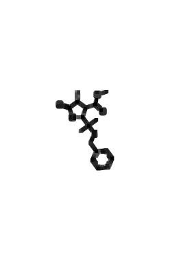 C=C1C(=O)OC(C(C)(C)SCc2ccccc2)C1C(=O)OC